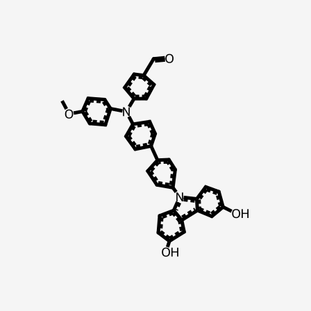 COc1ccc(N(c2ccc(C=O)cc2)c2ccc(-c3ccc(-n4c5ccc(O)cc5c5cc(O)ccc54)cc3)cc2)cc1